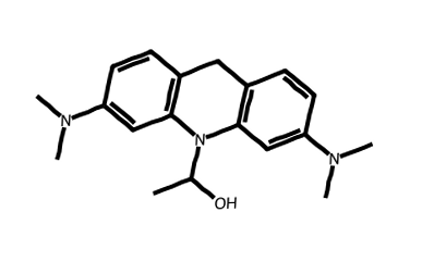 CC(O)N1c2cc(N(C)C)ccc2Cc2ccc(N(C)C)cc21